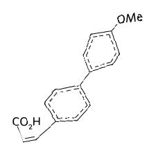 COc1ccc(-c2ccc(/C=C\C(=O)O)cc2)cc1